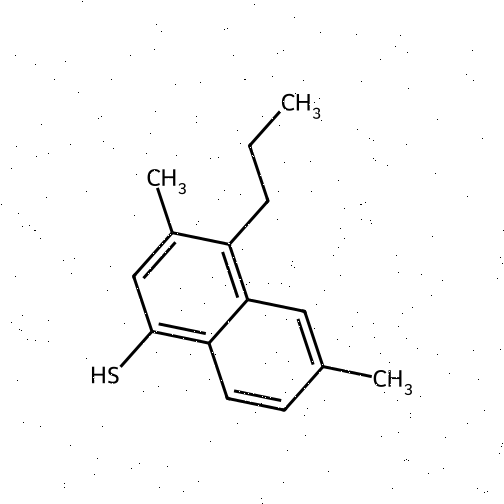 CCCc1c(C)cc(S)c2ccc(C)cc12